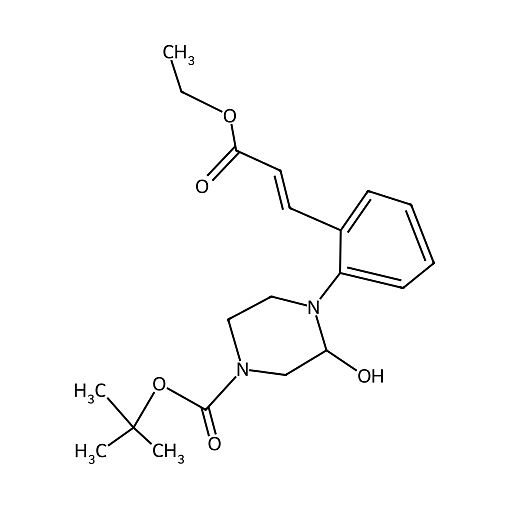 CCOC(=O)/C=C/c1ccccc1N1CCN(C(=O)OC(C)(C)C)CC1O